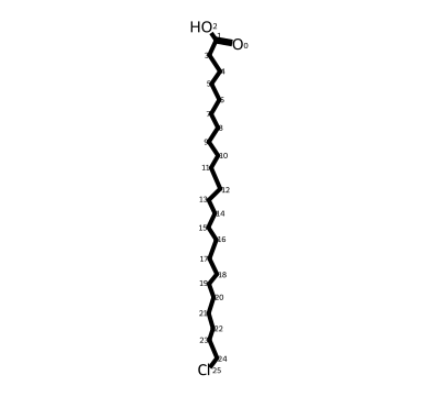 O=C(O)CCCCCCCCCCCCCCCCCCCCCCCl